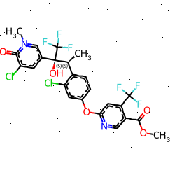 COC(=O)c1cnc(Oc2ccc([C@H](C)[C@](O)(c3cc(Cl)c(=O)n(C)c3)C(F)(F)F)c(Cl)c2)cc1C(F)(F)F